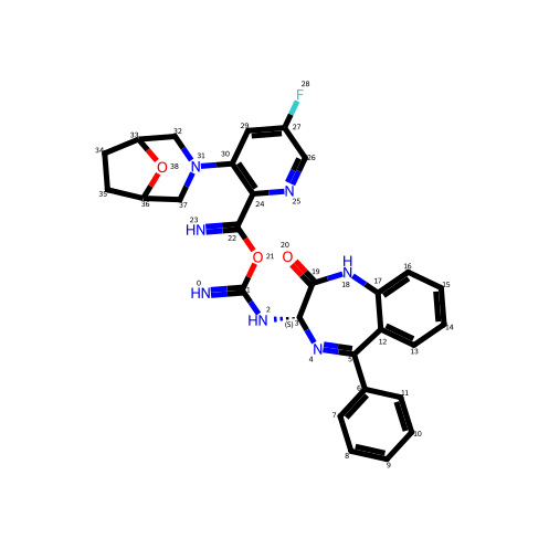 N=C(N[C@H]1N=C(c2ccccc2)c2ccccc2NC1=O)OC(=N)c1ncc(F)cc1N1CC2CCC(C1)O2